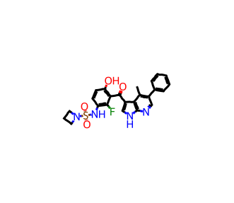 Cc1c(-c2ccccc2)cnc2[nH]cc(C(=O)c3c(O)ccc(NS(=O)(=O)N4CCC4)c3F)c12